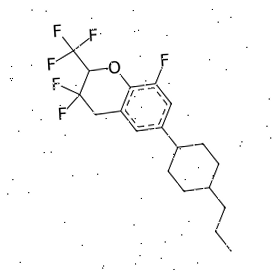 CCCC1CCC(c2cc(F)c3c(c2)CC(F)(F)C(C(F)(F)F)O3)CC1